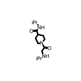 CC(C)NCC(=O)N1CCC(C(=O)NC(C)C)CC1